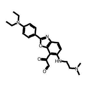 CCN(CC)c1ccc(-c2nc3ccc(NCCN(C)C)c(C(=O)C=O)c3o2)cc1